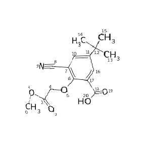 COC(=O)COc1c(C#N)cc(C(C)(C)C)cc1C(=O)O